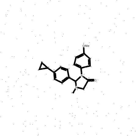 COc1ccc(N2C(=O)CN(C)C2c2ccc(C3CC3)cc2)cc1